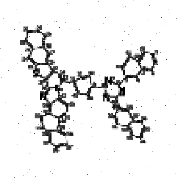 c1ccc2cc(-c3nc(-c4ccc(-c5cc6c7cc8ccccc8cc7sc6c6nc7c8ccc9ccccc9c8ccc7n56)cc4)nc(-c4ccc5ccccc5c4)n3)ccc2c1